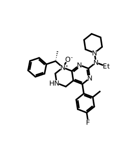 CCN(c1nc(-c2ccc(F)cc2C)c2c(n1)[N+]([O-])([C@@H](C)c1ccccc1)CNC2)N1CCCCC1